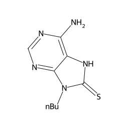 CCCCn1c(=S)[nH]c2c(N)ncnc21